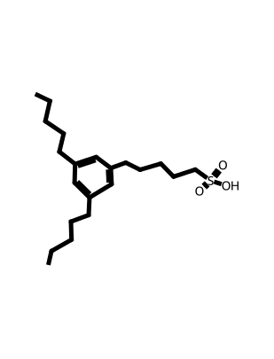 CCCCCc1cc(CCCCC)cc(CCCCCS(=O)(=O)O)c1